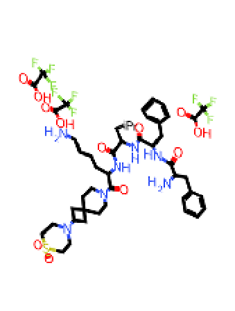 CC(C)CC(NC(=O)C(Cc1ccccc1)NC(=O)C(N)Cc1ccccc1)C(=O)NC(CCCCN)C(=O)N1CCC2(CC1)CC(N1CCS(=O)(=O)CC1)C2.O=C(O)C(F)(F)F.O=C(O)C(F)(F)F.O=C(O)C(F)(F)F